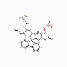 C=CCc1cc(C2(C3=CC=C(OCC4CO4)C(CC=C)C3)c3ccccc3-c3ccccc32)ccc1OC[C@@H]1CO1